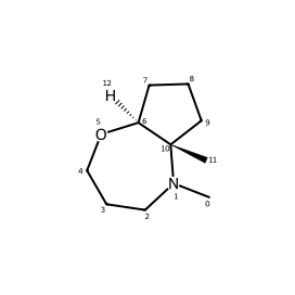 CN1CCCO[C@H]2CCC[C@@]21C